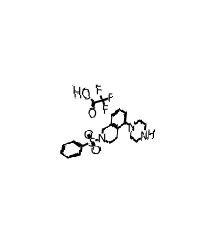 O=C(O)C(F)(F)F.O=S(=O)(c1ccccc1)N1CCc2c(cccc2N2CCNCC2)C1